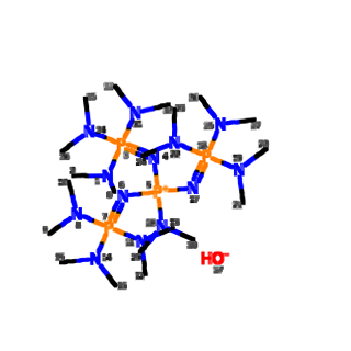 CN(C)P(=N[P+](N=P(N(C)C)(N(C)C)N(C)C)(N=P(N(C)C)(N(C)C)N(C)C)N(C)C)(N(C)C)N(C)C.[OH-]